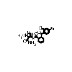 Cn1ncc(NC(=O)C2CC=CCC2C(=O)c2ccc(Br)cc2Cl)c1C(N)=O